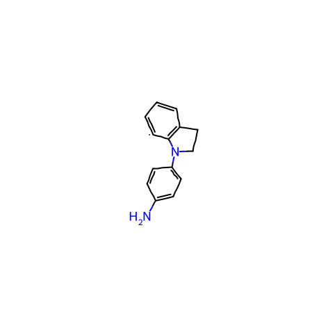 Nc1ccc(N2CCc3ccc[c]c32)cc1